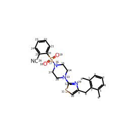 Cc1cccc(C)c1Cc1csc(N2CCN(S(=O)(=O)c3ccccc3C#N)CC2)n1